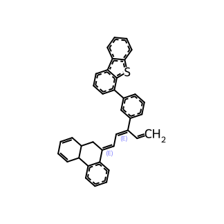 C=C/C(=C\C=C1/CC2C=CC=CC2c2ccccc21)c1cccc(-c2cccc3c2sc2ccccc23)c1